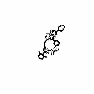 Cc1cccc(C)c1-c1cc2nc(n1)NS(=O)(=O)c1cccc(c1)C(=O)N(Cc1ncc(C3CCOCC3)cn1)[C@H](CC(C)C)CC2